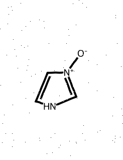 [O-][n+]1cc[nH]c1